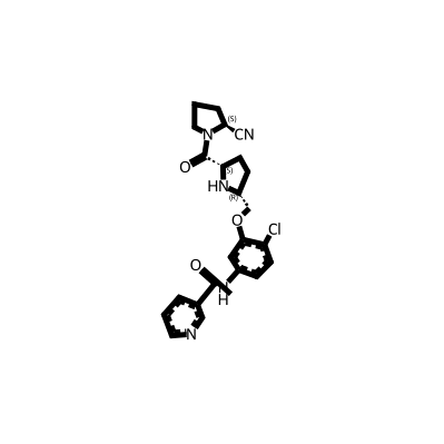 N#C[C@@H]1CCCN1C(=O)[C@@H]1CC[C@H](COc2cc(NC(=O)c3cccnc3)ccc2Cl)N1